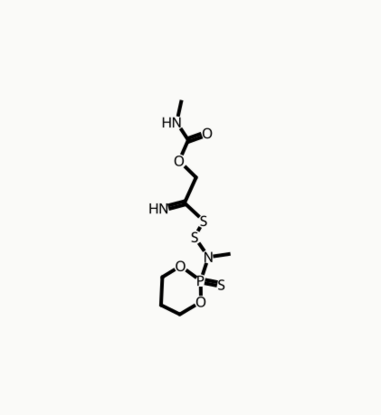 CNC(=O)OCC(=N)SSN(C)P1(=S)OCCCO1